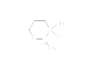 CCC[SiH]1OCCC[Si]1(CCC)CCC